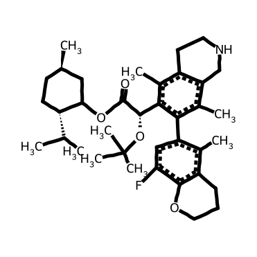 Cc1c(-c2c(C)c3c(c(C)c2[C@H](OC(C)(C)C)C(=O)OC2C[C@H](C)CC[C@H]2C(C)C)CCNC3)cc(F)c2c1CCCO2